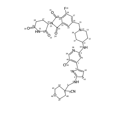 N#CC1(CNc2nc(-c3cc(NC4CCN(Cc5cc(F)c6c(c5)C(=O)N(C5CCC(=O)NC5=O)C6=O)CC4)ncc3Cl)cs2)CCOCC1